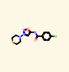 O=C([N-]c1c[n+](N2CCSCC2)no1)c1ccc(Cl)cc1